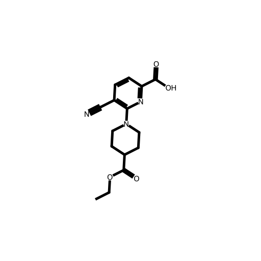 CCOC(=O)C1CCN(c2nc(C(=O)O)ccc2C#N)CC1